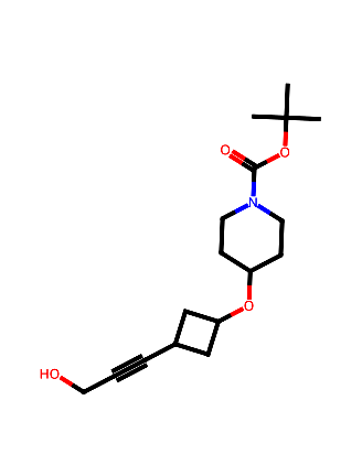 CC(C)(C)OC(=O)N1CCC(OC2CC(C#CCO)C2)CC1